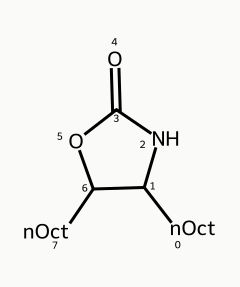 CCCCCCCCC1NC(=O)OC1CCCCCCCC